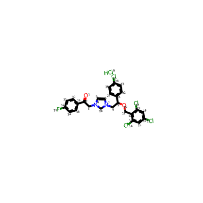 Cl.O=C(CN1C=CN(CC(OCc2c(Cl)cc(Cl)cc2Cl)c2ccc(Cl)cc2)C1)c1ccc(F)cc1